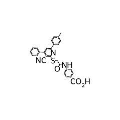 Cc1ccc(-c2cc(-c3ccccc3)c(C#N)c(SCC(=O)Nc3ccc(C(=O)O)cc3)n2)cc1